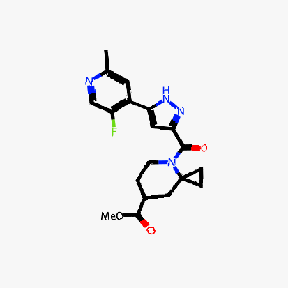 COC(=O)C1CCN(C(=O)c2cc(-c3cc(C)ncc3F)[nH]n2)C2(CC2)C1